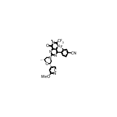 COc1cc([C@H]2CN(c3nc(-c4ccc(C#N)cc4F)c4nc(C(F)(F)F)n(C)c(=O)c4n3)C[C@@H](C)O2)ccn1